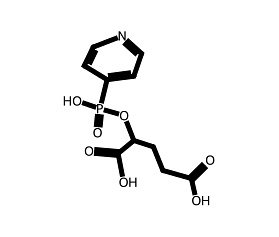 O=C(O)CCC(OP(=O)(O)c1ccncc1)C(=O)O